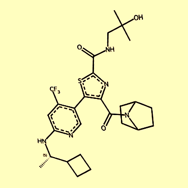 C[C@H](Nc1cc(C(F)(F)F)c(-c2sc(C(=O)NCC(C)(C)O)nc2C(=O)N2C3CCC2CC3)cn1)C1CCC1